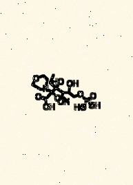 CCOC(C(=O)O)(N1CCOCC1)C(O)(CC)C(O)C(O)COP(=O)(O)O